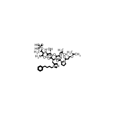 CC(C)C[C@H](NC(=O)[C@@H]1CCCN1C(=O)CCOC(C)C)C(=O)N[C@@H](Cc1cncn1CCCCc1ccccc1)C(=O)N[C@@H](CO)C(=O)N[C@H](C(N)=O)[C@@H](C)OP(=O)(O)O